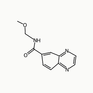 COCNC(=O)c1ccc2nccnc2c1